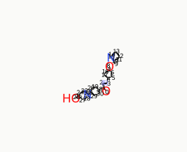 O=C(/C=C/c1ccc(OCc2ccccn2)cc1)c1ccc(N2CCC(O)CC2)cc1